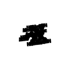 COc1cc(C=C(C(C)=O)C(=O)Oc2cc(OC(=O)C(=Cc3ccc(O)c(OC)c3)C(C)=O)c3c(c2)OC(c2ccc(OC(=O)C(=Cc4ccc(O)c(OC)c4)C(C)=O)c(OC(=O)C(=Cc4ccc(O)c(OC)c4)C(C)=O)c2)C(OC(=O)C(=Cc2ccc(O)c(OC)c2)C(C)=O)C3)ccc1O